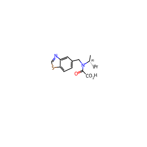 CC(C)[C@@H](C)N(Cc1ccc2scnc2c1)C(=O)C(=O)O